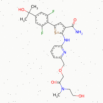 CN(CCO)C(=O)COCc1cccc(Nc2sc(-c3c(F)cc(C(C)(C)O)cc3F)cc2C(N)=O)n1